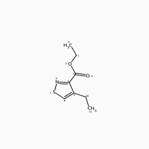 CCOC(=O)c1nscc1CC